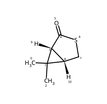 CC1(C)[C@@H]2C(=O)SC[C@@H]21